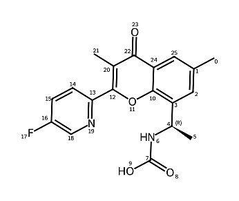 Cc1cc([C@@H](C)NC(=O)O)c2oc(-c3ccc(F)cn3)c(C)c(=O)c2c1